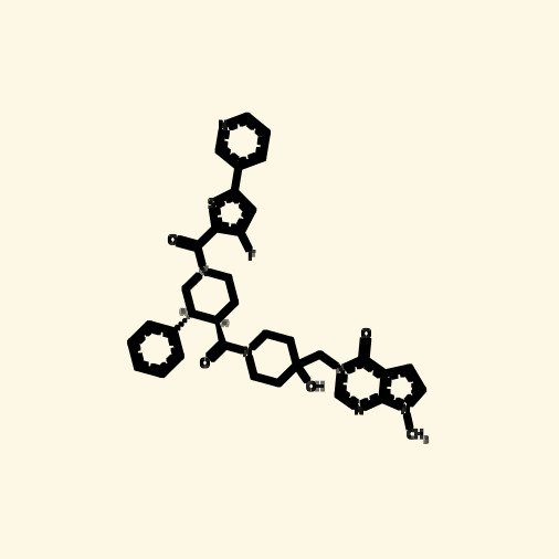 Cn1ccc2c(=O)n(CC3(O)CCN(C(=O)[C@@H]4CCN(C(=O)c5sc(-c6cccnc6)cc5F)C[C@H]4c4ccccc4)CC3)cnc21